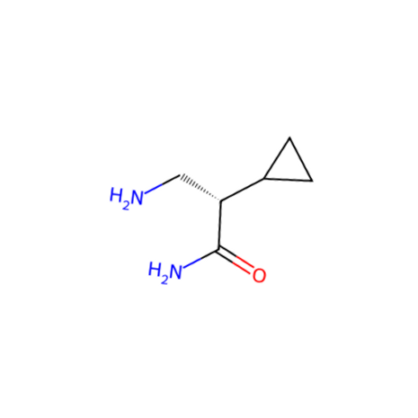 NC[C@@H](C(N)=O)C1CC1